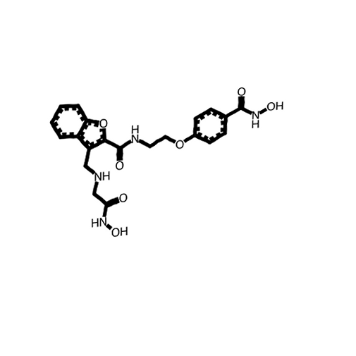 O=C(CNCc1c(C(=O)NCCOc2ccc(C(=O)NO)cc2)oc2ccccc12)NO